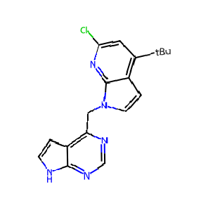 CC(C)(C)c1cc(Cl)nc2c1ccn2Cc1ncnc2[nH]ccc12